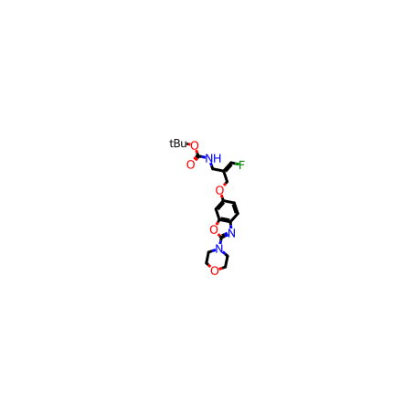 CC(C)(C)OC(=O)NC/C(=C/F)COc1ccc2nc(N3CCOCC3)oc2c1